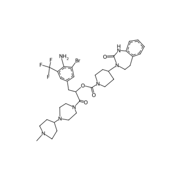 CN1CCC(N2CCN(C(=O)C(Cc3cc(Br)c(N)c(C(F)(F)F)c3)OC(=O)N3CCC(N4CCc5ccccc5NC4=O)CC3)CC2)CC1